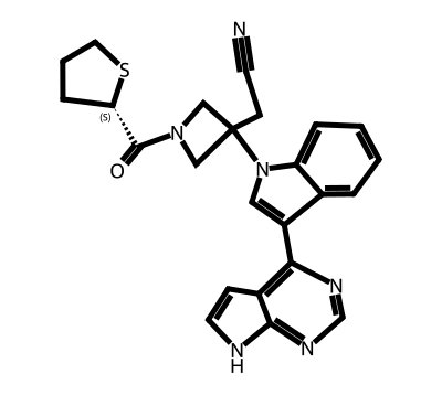 N#CCC1(n2cc(-c3ncnc4[nH]ccc34)c3ccccc32)CN(C(=O)[C@@H]2CCCS2)C1